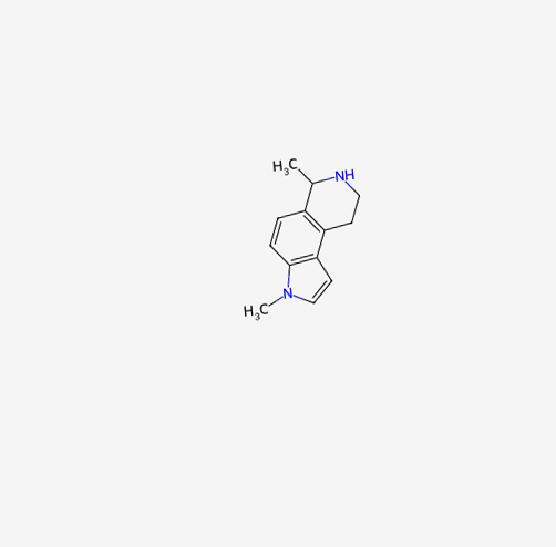 CC1NCCc2c1ccc1c2ccn1C